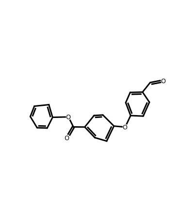 O=Cc1ccc(Oc2ccc(C(=O)Oc3ccccc3)cc2)cc1